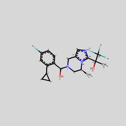 C[C@H]1CN(C(O)c2ccc(F)cc2C2CC2)Cc2cnc(C(C)(O)C(F)(F)F)n21